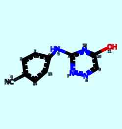 N#Cc1ccc(Nc2nncc(O)n2)cc1